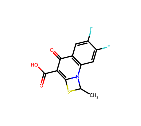 CC1Sc2c(C(=O)O)c(=O)c3cc(F)c(F)cc3n21